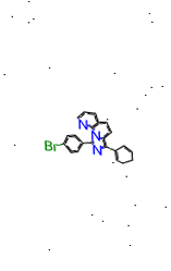 Brc1ccc(-c2nc(C3=CCCC=C3)c3ccc4cccnc4n23)cc1